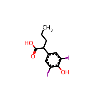 CCCC(C(=O)O)c1cc(I)c(O)c(I)c1